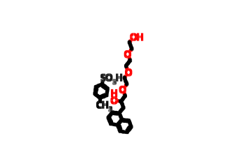 Cc1ccc(S(=O)(=O)O)cc1.OCCOCCOCCOCC(O)Cc1cccc2ccccc12